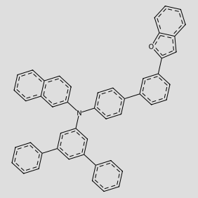 c1ccc(-c2cc(-c3ccccc3)cc(N(c3ccc(-c4cccc(-c5cc6ccccc6o5)c4)cc3)c3ccc4ccccc4c3)c2)cc1